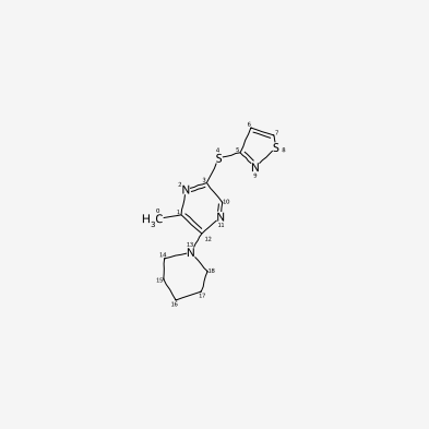 Cc1nc(Sc2ccsn2)cnc1N1CCCCC1